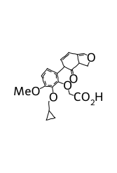 COc1ccc(C2C=CC3=COCC3C2=O)c(OCC(=O)O)c1OCC1CC1